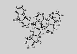 Cn1c2ccccc2c2cc(N3c4cc5c6ccccc6n(C)c5cc4B4c5cccc6c5N(c5cccc3c54)C3(C)CCCCC63C)ccc21